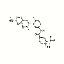 CNc1ncc2cc(-c3cc(NC(=O)c4cc[n+](O)c(C(F)(F)F)c4)ccc3C)c(C)nc2n1